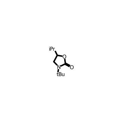 CC(C)C1CN(C(C)(C)C)C(=O)O1